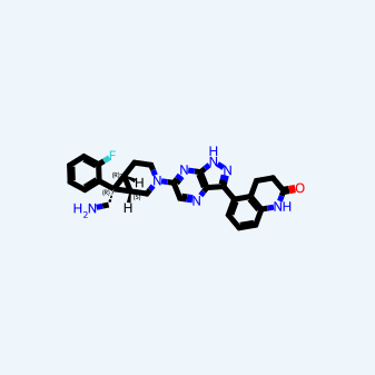 NC[C@]1(c2ccccc2F)[C@@H]2CCN(c3cnc4c(-c5cccc6c5CCC(=O)N6)n[nH]c4n3)C[C@@H]21